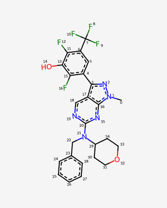 Cn1nc(-c2cc(C(F)(F)F)c(F)c(O)c2F)c2cnc(N(Cc3ccccc3)C3CCOCC3)nc21